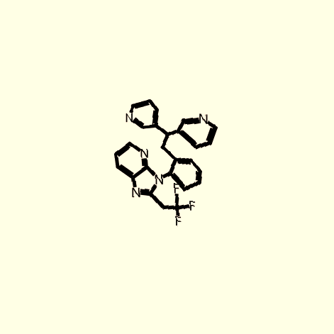 FC(F)(F)Cc1nc2cccnc2n1-c1ccccc1CC(c1cccnc1)c1cccnc1